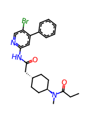 CCC(=O)N(C)[C@H]1CC[C@H](CC(=O)Nc2cc(-c3ccccc3)c(Br)cn2)CC1